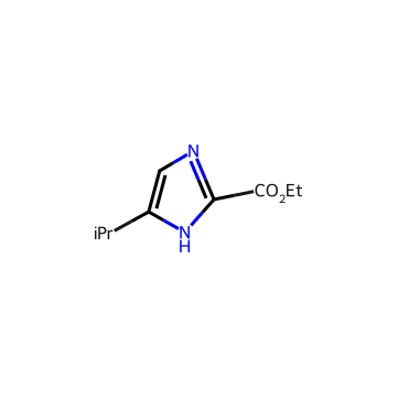 CCOC(=O)c1ncc(C(C)C)[nH]1